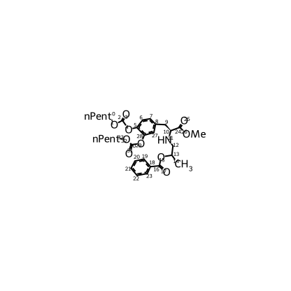 CCCCCOC(=O)Oc1ccc(C[C@H](NCC(C)OC(=O)c2ccccc2)C(=O)OC)cc1OC(=O)OCCCCC